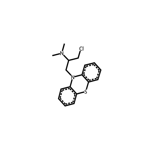 CN(C)C(CCl)CN1c2ccccc2Sc2ccccc21